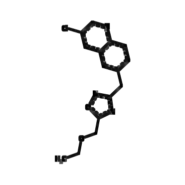 CCOCc1nc(Cc2ccc3ncc(Cl)cc3c2)no1